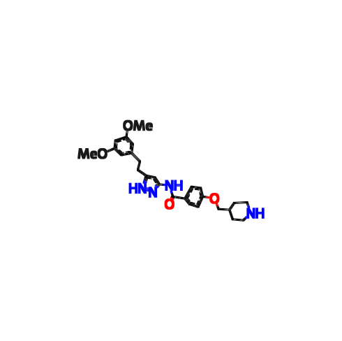 COc1cc(CCc2cc(NC(=O)c3ccc(OCC4CCNCC4)cc3)n[nH]2)cc(OC)c1